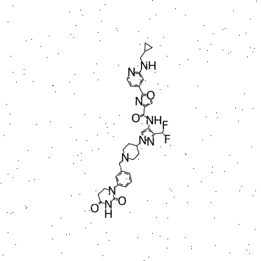 O=C1CCN(c2cccc(CN3CCC(n4cc(NC(=O)c5coc(-c6ccnc(NCC7CC7)c6)n5)c(C(F)F)n4)CC3)c2)C(=O)N1